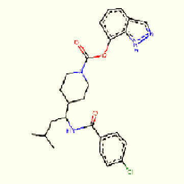 CC(C)CC(NC(=O)c1ccc(Cl)cc1)C1CCN(C(=O)Oc2cccc3cn[nH]c23)CC1